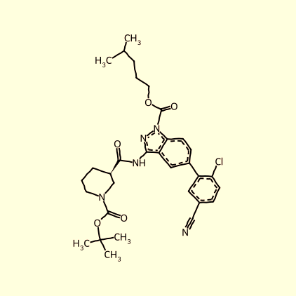 CC(C)CCCOC(=O)n1nc(NC(=O)[C@@H]2CCCN(C(=O)OC(C)(C)C)C2)c2cc(-c3cc(C#N)ccc3Cl)ccc21